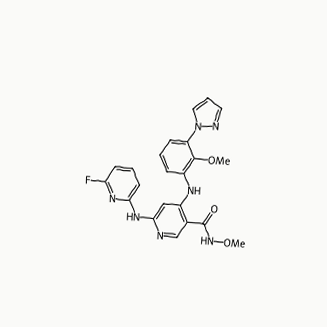 CONC(=O)c1cnc(Nc2cccc(F)n2)cc1Nc1cccc(-n2cccn2)c1OC